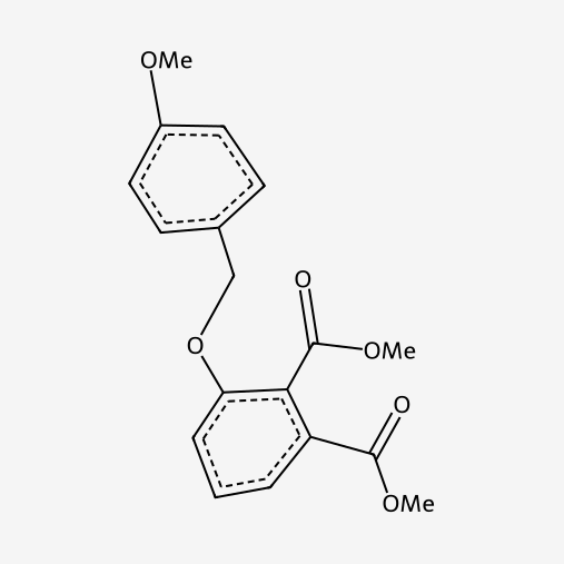 COC(=O)c1cccc(OCc2ccc(OC)cc2)c1C(=O)OC